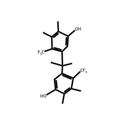 Cc1c(O)cc(C(C)(C)c2cc(O)c(C)c(C)c2C(F)(F)F)c(C(F)(F)F)c1C